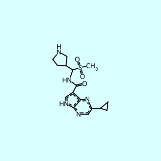 CS(=O)(=O)C(NC(=O)c1c[nH]c2ncc(C3CC3)nc12)C1CCNC1